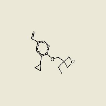 C=Cc1ccc(OCC2(CC)COC2)c(C2CC2)c1